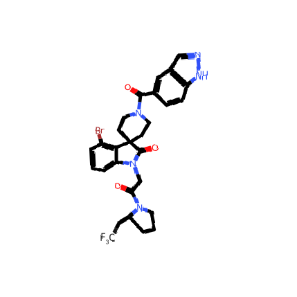 O=C(c1ccc2[nH]ncc2c1)N1CCC2(CC1)C(=O)N(CC(=O)N1CCCC1CC(F)(F)F)c1cccc(Br)c12